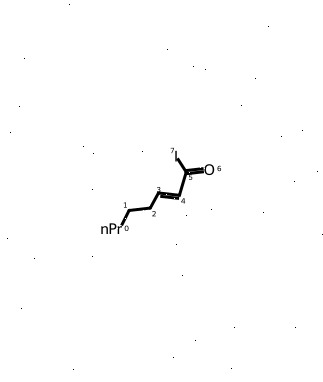 CCCCCC=CC(=O)I